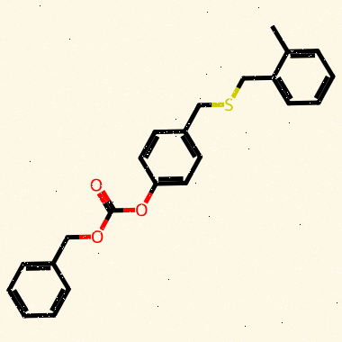 Cc1ccccc1CSCc1ccc(OC(=O)OCc2ccccc2)cc1